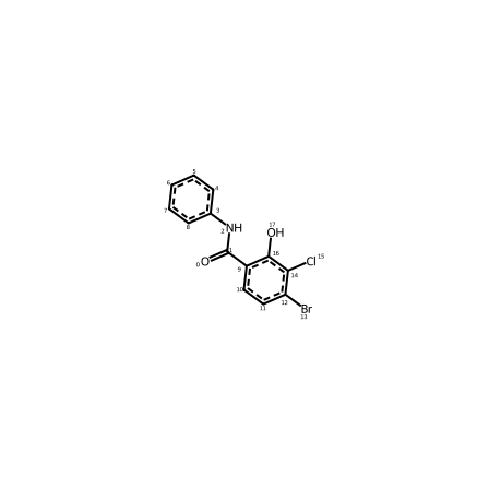 O=C(Nc1ccccc1)c1ccc(Br)c(Cl)c1O